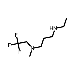 CCNCCCN(C)CC(F)(F)F